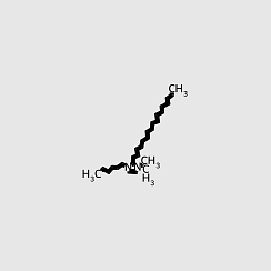 CCCCCCCCCCCCCCCCCC1N(CCCCCC)C=CN1C(C)C